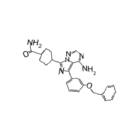 NC(=O)C1CCC(c2nc(-c3cccc(OCc4ccccc4)c3)c3c(N)ncnn23)CC1